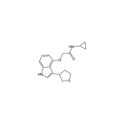 O=C(COc1cccc2[nH]cc(C3CCSC3)c12)NC1CC1